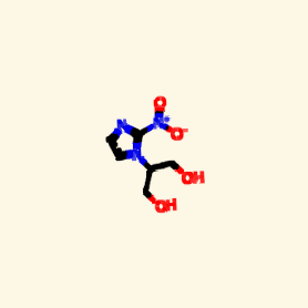 O=[N+]([O-])c1nccn1C(CO)CO